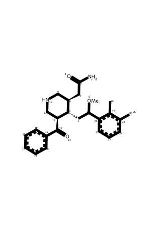 COC(C[C@H]1[C@H](CC(N)=O)CNC[C@@H]1C(=O)c1ccccc1)c1cccc(F)c1C